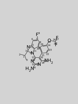 CC(C)c1nc2cc(F)ccc2n1-c1nc(N)nc(N)c1-c1ccc(OC(F)F)cc1